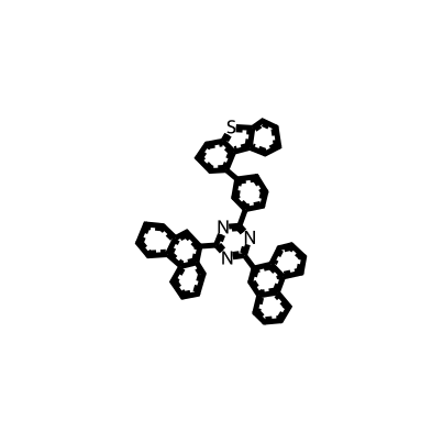 c1cc(-c2nc(-c3cc4ccccc4c4ccccc34)nc(-c3cc4ccccc4c4ccccc34)n2)cc(-c2cccc3sc4ccccc4c23)c1